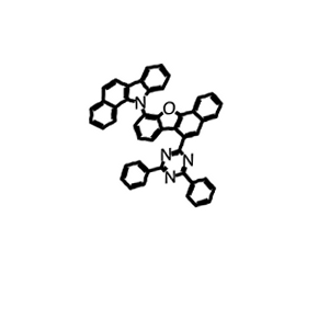 c1ccc(-c2nc(-c3ccccc3)nc(-c3cc4ccccc4c4oc5c(-n6c7ccccc7c7ccc8ccccc8c76)cccc5c34)n2)cc1